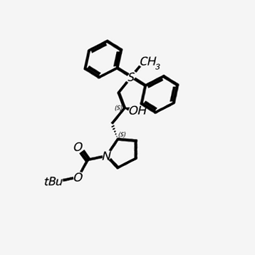 CC(C)(C)OC(=O)N1CCC[C@H]1C[C@H](O)CS(C)(c1ccccc1)c1ccccc1